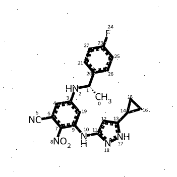 C[C@H](Nc1cc(C#N)c([N+](=O)[O-])c(Nc2cc(C3CC3)[nH]n2)c1)c1ccc(F)cc1